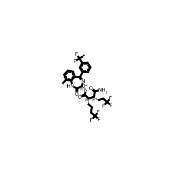 Cc1cccc2c1NC(=O)[C@@H](NC(=O)[C@@H](CCCC(F)(F)F)[C@@H](CCC(F)(F)F)C(N)=O)N=C2c1cccc(C(F)(F)F)c1